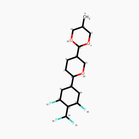 CC1COC(C2CCC(C3CC(F)C(C(F)F)C(F)C3)OC2)OC1